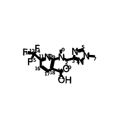 CN(Cc1ncn(C)n1)c1nc(C(F)(F)F)ccc1C(=O)O